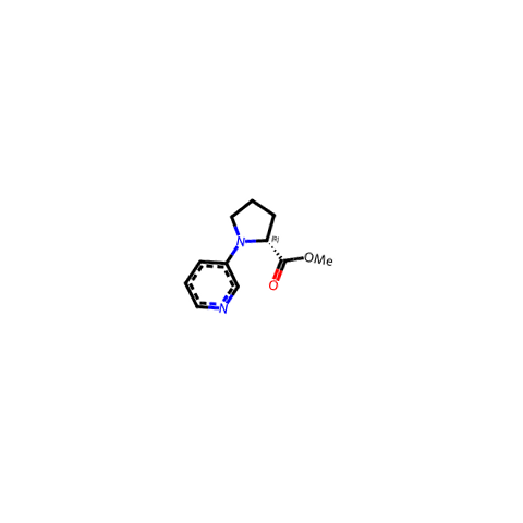 COC(=O)[C@H]1CCCN1c1cccnc1